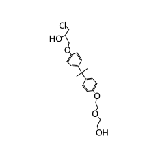 CC(C)(c1ccc(OCCOCCO)cc1)c1ccc(OCC(O)CCl)cc1